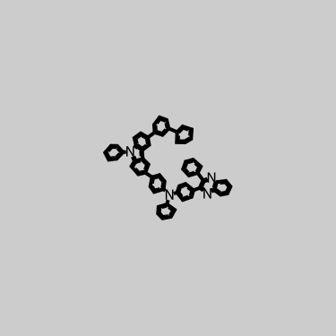 c1ccc(-c2cccc(-c3ccc4c(c3)c3cc(-c5ccc(N(c6ccccc6)c6ccc(-c7nc8ccccc8nc7-c7ccccc7)cc6)cc5)ccc3n4-c3ccccc3)c2)cc1